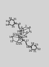 C(=CC12CC3CC(C1)CC(C14CC5CC(CC(C=Cc6ccccc6)(C5)C1)C4)(C3)C2)c1ccccc1